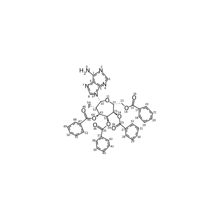 Nc1ncnc2c1ncn2[C@@H]1O[C@H](COC(=O)c2ccccc2)[C@@H](OC(=O)c2ccccc2)[C@@H](OC(=O)c2ccccc2)[C@@H](OC(=O)c2ccccc2)[C@@H]1F